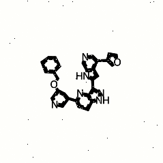 c1ccc(COc2cncc(-c3ccc4[nH]nc(-c5cc6c(-c7ccoc7)cncc6[nH]5)c4n3)c2)cc1